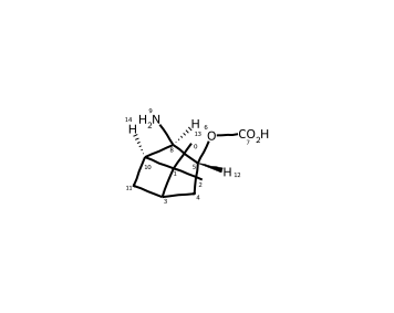 CC1(C)C2C[C@@H](OC(=O)O)[C@H](N)[C@@H]1C2